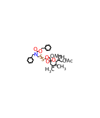 COC(=O)[C@@]1(OCSSCN(Cc2ccccc2)C(=O)OCc2ccccc2)C[C@@H](C)[C@@H](C)C([C@H](C)COC(C)=O)O1